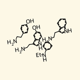 CCNc1ccccc1.NCCc1c[nH]c2ccc(O)cc12.NCCc1c[nH]c2ccccc12.NCCc1ccc(O)cc1